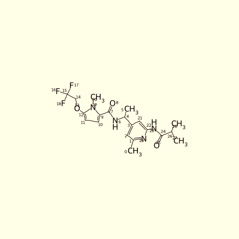 Cc1cc(C(C)NC(=O)c2ccc(OCC(F)(F)F)n2C)cc(NC(=O)C(C)C)n1